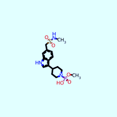 CNS(=O)(=O)Cc1ccc2c(C3CCN(P(=O)(O)OC)CC3)c[nH]c2c1